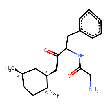 CC(C)[C@@H]1CC[C@@H](C)C[C@H]1CC(=O)C(Cc1ccccc1)NC(=O)CN